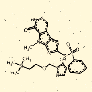 Cn1c2nc([SH](c3ccnn3COCC[Si](C)(C)C)S(=O)(=O)c3ccccc3)sc2c2cn[nH]c(=O)c21